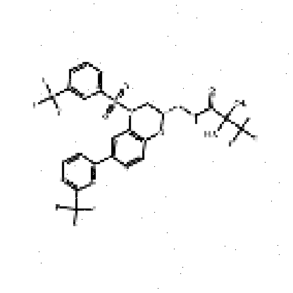 CC(C)(C(=O)NC[C@H]1CN(S(=O)(=O)c2cccc(C(F)(F)F)c2)c2cc(-c3cccc(C(F)(F)F)n3)ccc2O1)C(F)(F)F